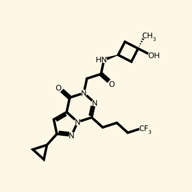 C[C@]1(O)C[C@@H](NC(=O)Cn2nc(CCCC(F)(F)F)n3nc(C4CC4)cc3c2=O)C1